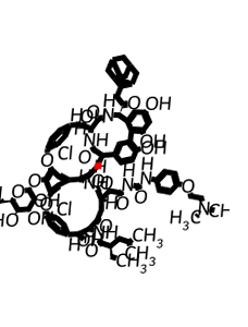 CC[C@H](CC(C)C)C(=O)N[C@H]1C(=O)C[C@@H](CC(=O)NC(=O)Nc2ccc(OCCN(C)C)cc2)C(=O)N[C@H]2C(=O)C[C@H]3C(=O)N[C@H](C(=O)N[C@H](C(=O)CC4C5CC6CC(C5)CC4C6)c4cc(O)cc(O)c4-c4cc3ccc4O)[C@H](O)c3ccc(c(Cl)c3)Oc3cc2cc(c3O[C@@H]2O[C@H](CN)[C@@H](O)[C@H](O)[C@H]2O)Oc2ccc(cc2Cl)[C@H]1O